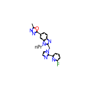 CCCn1c(Cn2ccnc2-c2cccc(F)n2)nc2ccc(-c3nnc(C)o3)cc21